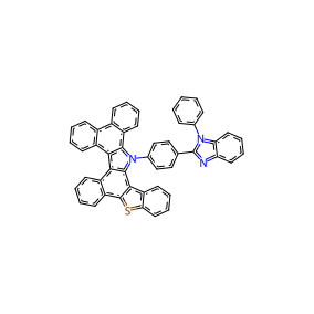 c1ccc(-n2c(-c3ccc(-n4c5c6ccccc6c6ccccc6c5c5c6ccccc6c6sc7ccccc7c6c54)cc3)nc3ccccc32)cc1